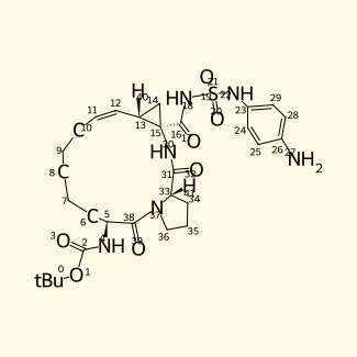 CC(C)(C)OC(=O)N[C@H]1CCCCC/C=C\[C@@H]2C[C@@]2(C(=O)NS(=O)(=O)Nc2ccc(N)cc2)NC(=O)[C@@H]2CCCN2C1=O